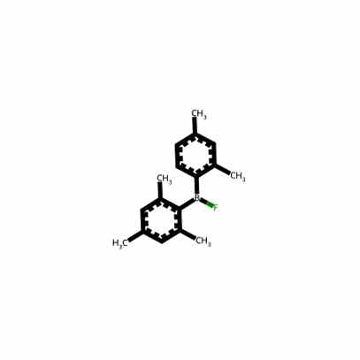 Cc1ccc(B(F)c2c(C)cc(C)cc2C)c(C)c1